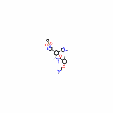 Cc1ccc(OCCN(C)C)cc1C(=O)N[C@H](C)c1cc(-c2cnn(C)c2)cc(-c2cnn(S(=O)(=O)C3CC3)c2)c1